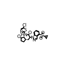 O=C1CC[C@H](CC(C(=O)Nc2ncc(Cl)s2)n2ncc3c(S(=O)(=O)C4CC4)cccc32)C1